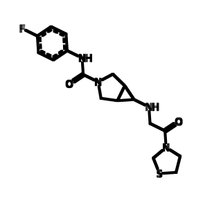 O=C(CNC1C2CN(C(=O)Nc3ccc(F)cc3)CC21)N1CCSC1